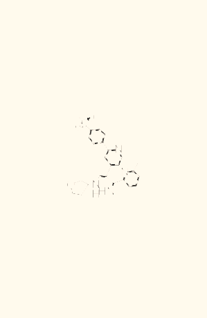 Cc1cccc(C(=N)/C(=C\N[C@@H]2CCOC2)c2ccnc(-c3ccc(S(C)(=O)=O)cc3)c2)n1